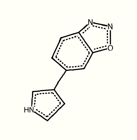 c1cc(-c2ccc3nnoc3c2)c[nH]1